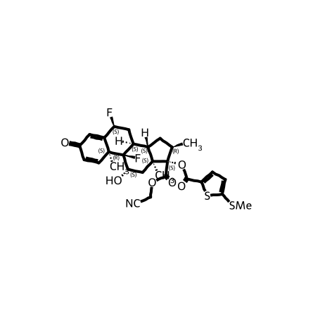 CSc1ccc(C(=O)O[C@@]2(C(=O)OCC#N)[C@H](C)C[C@H]3[C@@H]4C[C@H](F)C5=CC(=O)C=C[C@]5(C)[C@@]4(F)[C@@H](O)C[C@@]32C)s1